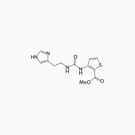 COC(=O)c1sccc1NC(=O)NCCc1c[nH]cn1